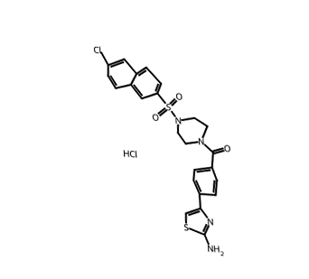 Cl.Nc1nc(-c2ccc(C(=O)N3CCN(S(=O)(=O)c4ccc5cc(Cl)ccc5c4)CC3)cc2)cs1